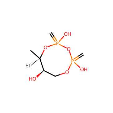 C=P1(O)OC[C@@H](O)[C@](C)(CC)OP(=C)(O)O1